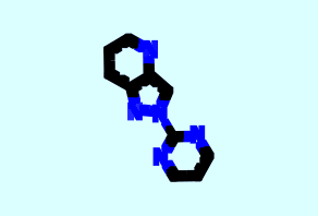 c1cnc(-n2cc3ncccc3n2)nc1